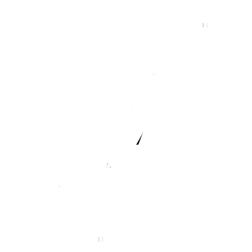 Cc1cccc(CNCC[C@@H]2CCOC3(CCCC3c3cccc(C)c3)C2)c1